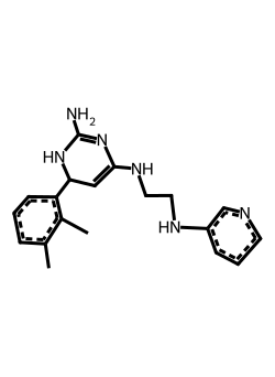 Cc1cccc(C2C=C(NCCNc3cccnc3)N=C(N)N2)c1C